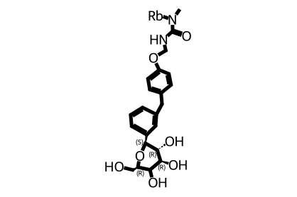 C[N]([Rb])C(=O)NCOc1ccc(Cc2cccc([C@@H]3O[C@H](CO)C(O)[C@H](O)[C@H]3O)c2)cc1